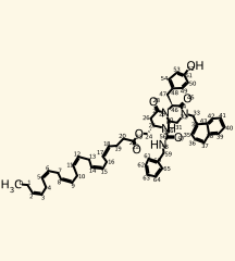 CC/C=C\C/C=C\C/C=C\C/C=C\C/C=C\C/C=C\CCC(=O)OC[C@@H]1CC(=O)N2[C@H](CN(Cc3cccc4ccccc34)C(=O)[C@@H]2Cc2ccc(O)cc2)N1C(=O)NCc1ccccc1